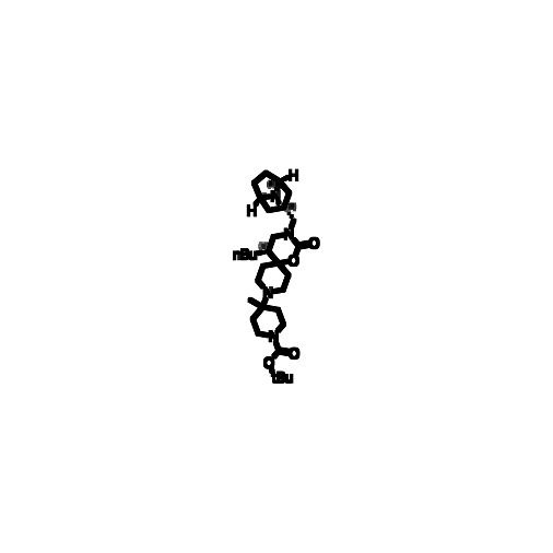 CCCC[C@H]1CN(C[C@H]2C[C@H]3CC[C@@H](C2)N3C)C(=O)OC12CCN(C1(C)CCN(C(=O)OC(C)(C)C)CC1)CC2